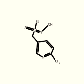 CCS(=O)(Cc1ccc(C(F)(F)F)nc1)=NC#N